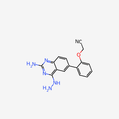 N#CCOc1ccccc1-c1ccc2nc(N)nc(NN)c2c1